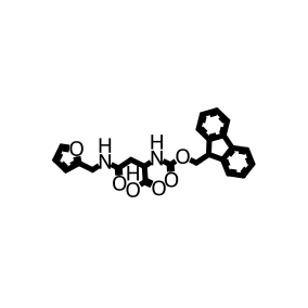 O=C(CC(NC(=O)OCC1c2ccccc2-c2ccccc21)C(=O)O)NCc1ccco1